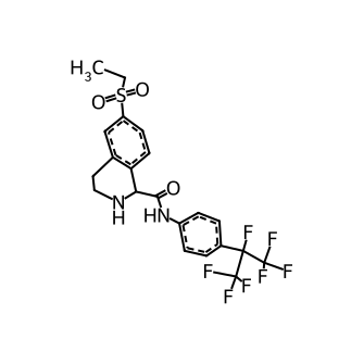 CCS(=O)(=O)c1ccc2c(c1)CCNC2C(=O)Nc1ccc(C(F)(C(F)(F)F)C(F)(F)F)cc1